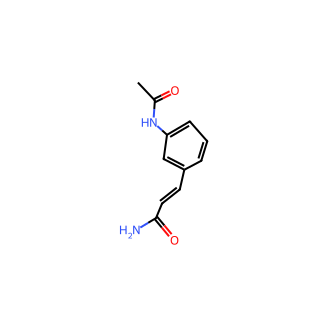 CC(=O)Nc1cccc(/C=C/C(N)=O)c1